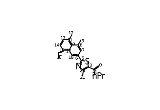 C=C(CCC)c1sc(-c2cc(C)c3c(C)ccc(F)c3c2)nc1C